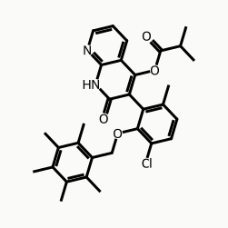 Cc1ccc(Cl)c(OCc2c(C)c(C)c(C)c(C)c2C)c1-c1c(OC(=O)C(C)C)c2cccnc2[nH]c1=O